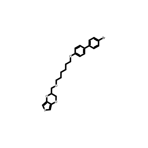 Brc1ccc(-c2ccc(OCCCCCCOCC3COc4cscc4O3)cc2)cc1